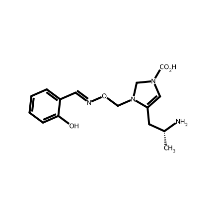 C[C@@H](N)CC1=CN(C(=O)O)CN1CON=Cc1ccccc1O